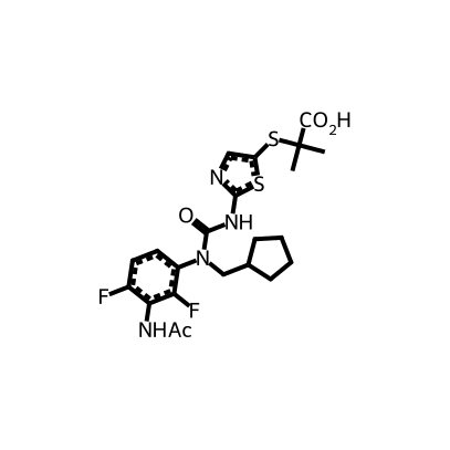 CC(=O)Nc1c(F)ccc(N(CC2CCCC2)C(=O)Nc2ncc(SC(C)(C)C(=O)O)s2)c1F